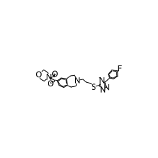 Cn1c(SCCCN2CCc3ccc(S(=O)(=O)N4CCOCC4)cc3CC2)nnc1-c1ccc(F)cc1